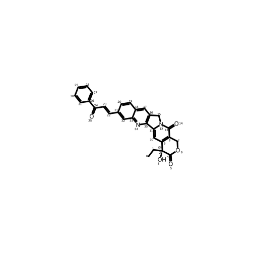 CC[C@@]1(O)C(=O)OCc2c1cc1n(c2=O)Cc2cc3ccc(C=CC(=O)c4ccccc4)cc3nc2-1